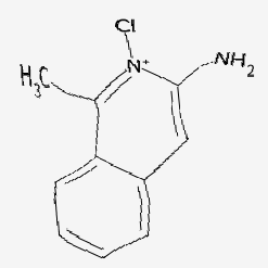 Cc1c2ccccc2cc(N)[n+]1Cl